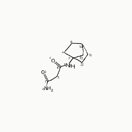 NC(=O)CC(=O)NC12CCC(CC1)C2